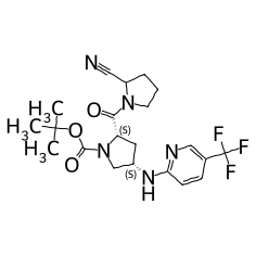 CC(C)(C)OC(=O)N1C[C@@H](Nc2ccc(C(F)(F)F)cn2)C[C@H]1C(=O)N1CCCC1C#N